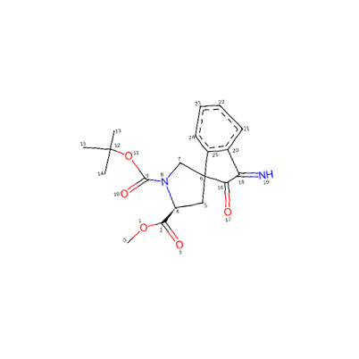 COC(=O)[C@@H]1CC2(CN1C(=O)OC(C)(C)C)C(=O)C(=N)c1ccccc12